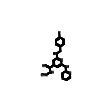 N=C(NC=O)c1cc(NCc2ccc(F)cc2)nc(Nc2cnccn2)c1